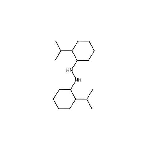 CC(C)C1CCCCC1NNC1CCCCC1C(C)C